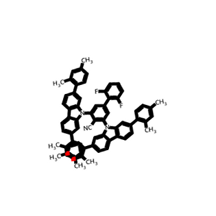 Cc1ccc(-c2ccc3c4ccc(-c5ccc(C)cc5C)cc4n(-c4cc(-c5c(F)cccc5F)cc(-n5c6cc(-c7ccc(C)cc7C)ccc6c6ccc(-c7ccc(C)cc7C)cc65)c4C#N)c3c2)c(C)c1